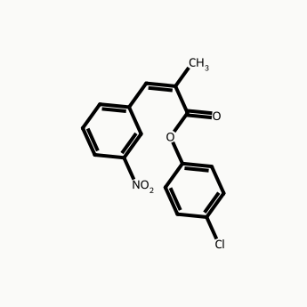 CC(=Cc1cccc([N+](=O)[O-])c1)C(=O)Oc1ccc(Cl)cc1